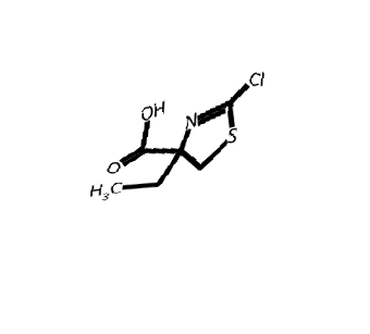 CCC1(C(=O)O)CSC(Cl)=N1